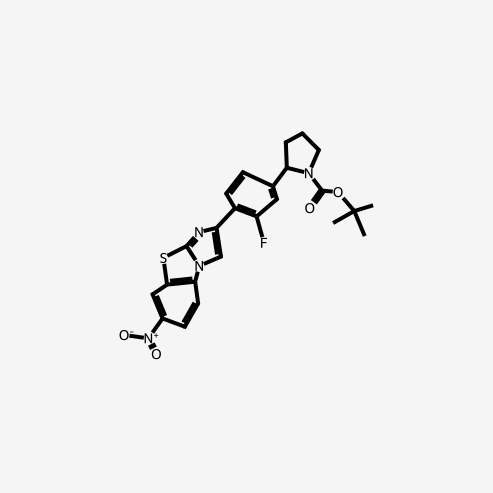 CC(C)(C)OC(=O)N1CCCC1c1ccc(-c2cn3c(n2)sc2cc([N+](=O)[O-])ccc23)c(F)c1